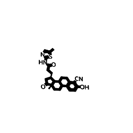 Cc1cnc(NC(=O)CC[C@@H]2CC(=O)[C@@]3(C)CCC4c5ccc(O)c(C#N)c5CCC4C23)s1